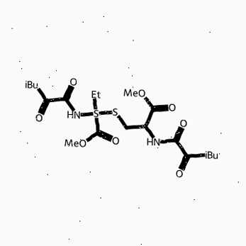 CCC(C)C(=O)C(=O)NC(CSS(CC)(NC(=O)C(=O)C(C)CC)C(=O)OC)C(=O)OC